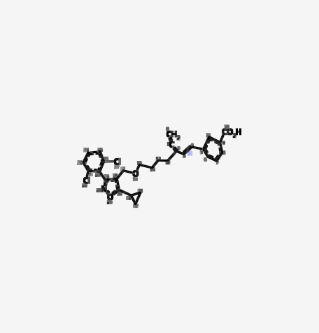 C=C=C(/C=C/c1cccc(C(=O)O)c1)CCCCOCc1c(-c2c(Cl)cccc2Cl)noc1C1CC1